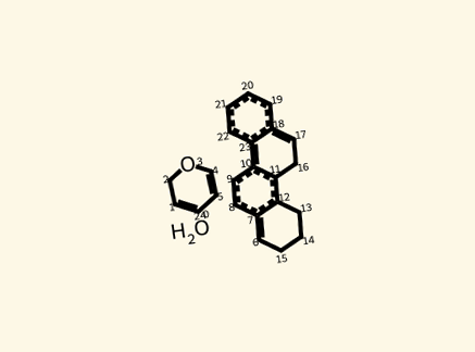 C1=CCOC=C1.C1=c2ccc3c(c2CCC1)CC=c1ccccc1=3.O